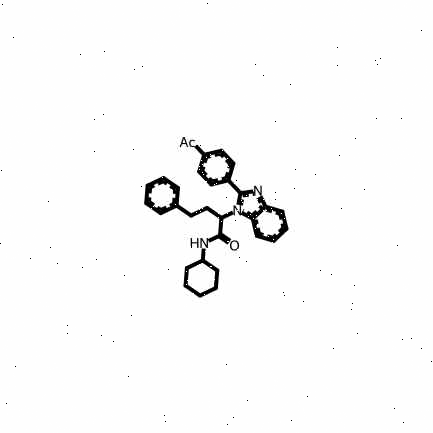 CC(=O)c1ccc(-c2nc3ccccc3n2C(CCc2ccccc2)C(=O)NC2CCCCC2)cc1